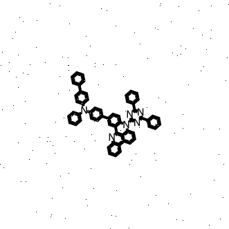 c1ccc(-c2ccc(N(c3ccccc3)c3ccc(-c4ccc5c(c4)-c4nc6ccccc6c6cccc(c46)N5c4nc(-c5ccccc5)nc(-c5ccccc5)n4)cc3)cc2)cc1